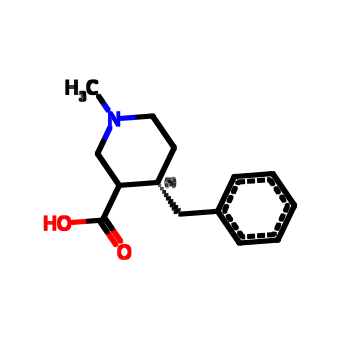 CN1CC[C@H](Cc2ccccc2)C(C(=O)O)C1